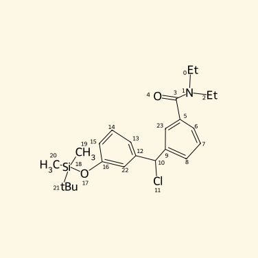 CCN(CC)C(=O)c1cccc(C(Cl)c2cccc(O[Si](C)(C)C(C)(C)C)c2)c1